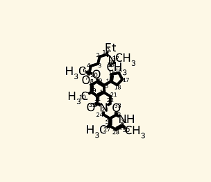 CCC(CCCC1(C)Oc2c(C)c3c(c(C4=CCCC4)c2O1)CCN(Cc1c(C)cc(C)[nH]c1=O)C3=O)N(C)C